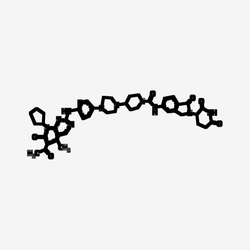 CC(=O)c1c(C)c2cnc(Nc3ccc(N4CCN(C5CCN(C(=O)Nc6ccc7c(c6)CN(C6CCC(=O)NC6=O)C7=O)CC5)CC4)cn3)nc2n(C2CCCC2)c1=O